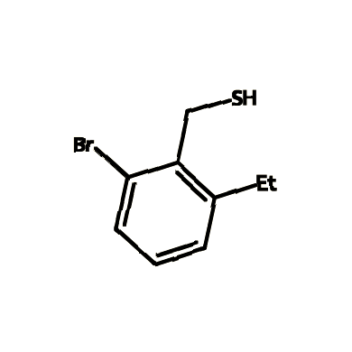 CCc1cccc(Br)c1CS